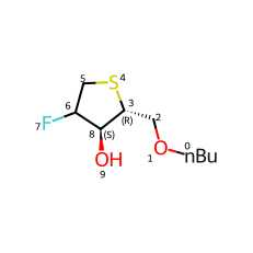 CCCCOC[C@H]1SCC(F)[C@@H]1O